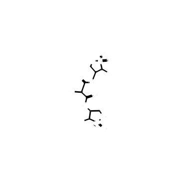 CC(C(=O)OC1COS(=O)(=O)C1C)C(=O)OC1COS(=O)(=O)C1C